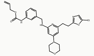 C=CCOC(=O)Nc1cccc(CNc2cc(N3CCOCC3)cc(CCc3ncc(CC)o3)n2)c1